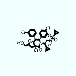 CC[C@]1(CC(O)CO)C[C@H](c2cccc(Cl)c2)[C@@H](c2ccc(Cl)cc2)N([C@@H](CNS(=O)(=O)C2CC2)C2CC2)C1=O